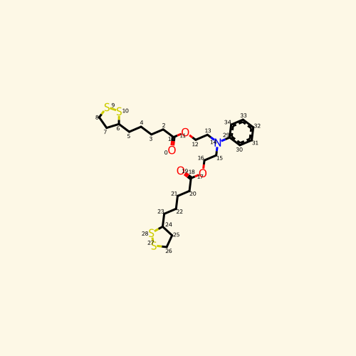 O=C(CCCCC1CCSS1)OCCN(CCOC(=O)CCCCC1CCSS1)c1ccccc1